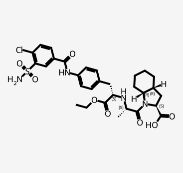 CCOC(=O)[C@H](Cc1ccc(NC(=O)c2ccc(Cl)c(S(N)(=O)=O)c2)cc1)N[C@@H](C)C(=O)N1[C@@H]2CCCC[C@@H]2C[C@H]1C(=O)O